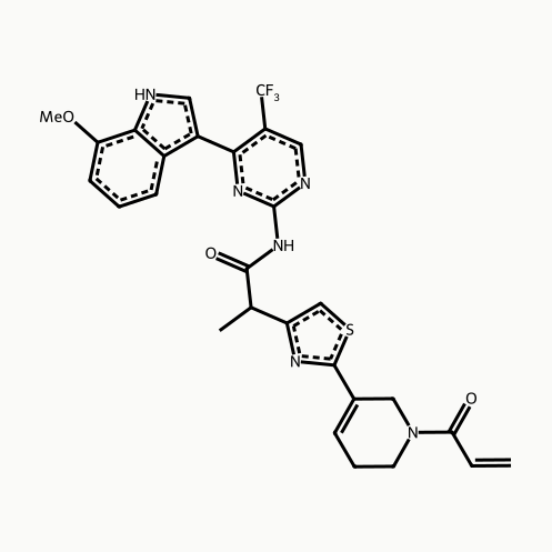 C=CC(=O)N1CCC=C(c2nc(C(C)C(=O)Nc3ncc(C(F)(F)F)c(-c4c[nH]c5c(OC)cccc45)n3)cs2)C1